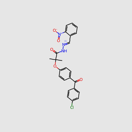 CC(C)(Oc1ccc(C(=O)c2ccc(Cl)cc2)cc1)C(=O)N/N=C/c1ccccc1[N+](=O)[O-]